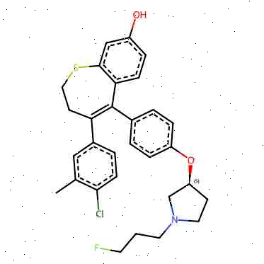 Cc1cc(C2=C(c3ccc(O[C@H]4CCN(CCCF)C4)cc3)c3ccc(O)cc3SCC2)ccc1Cl